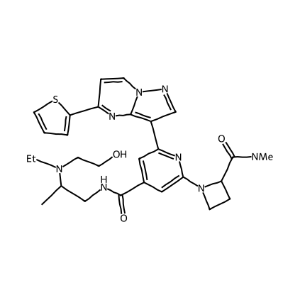 CCN(CCO)C(C)CNC(=O)c1cc(-c2cnn3ccc(-c4cccs4)nc23)nc(N2CCC2C(=O)NC)c1